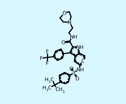 CC(C)(C)c1ccc(S(=O)(=O)Nc2ccc3[nH]c(C(=O)NCCN4CCOCC4)c(-c4ccc(C(F)(F)F)cc4)c3c2)cc1